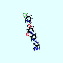 CN[C@H]1CCN(c2ccc(-n3ccc(OCc4ccc(Cl)cn4)cc3=O)cn2)C1